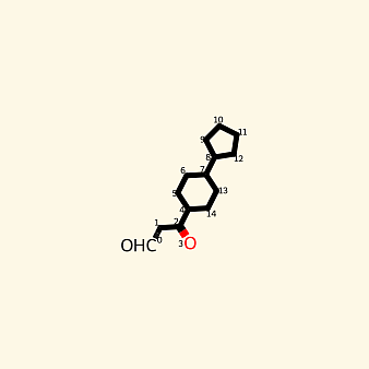 O=CCC(=O)C1CCC(C2CCCC2)CC1